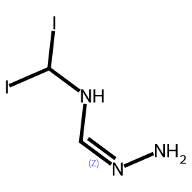 N/N=C\NC(I)I